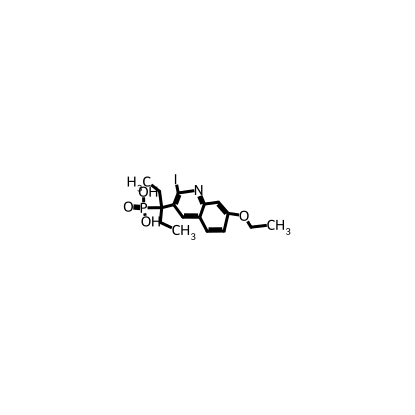 CCOc1ccc2cc(C(CC)(CC)P(=O)(O)O)c(I)nc2c1